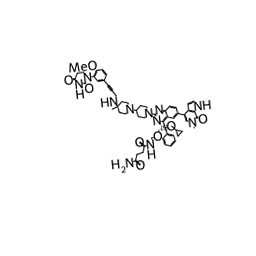 COc1ccc(C#CCNC2(C)CCN(C3CCN(c4nc([C@@](COCNC(=O)CCC(N)=O)(OC5CC5)c5ccccc5)c5cc(-c6cn(C)c(=O)c7[nH]ccc67)ccc5n4)CC3)CC2)cc1N1CCC(=O)NC1=O